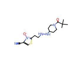 CC(C)(C)C(=O)N1CCC(NNCCc2scc(C#N)[n+]2[O-])CC1